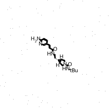 CC(C)(C)NC(=O)N1C[C@@H]2[C@@H](CCNC(=O)/C=C/c3ccc(N)nc3)[C@@H]2C1